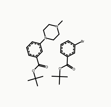 CC(C)(C)OC(=O)c1cccc(Br)c1.CN1CCN(c2cccc(C(=O)OC(C)(C)C)c2)CC1